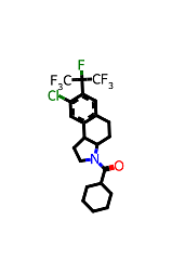 O=C(C1CCCCC1)N1CCC2c3cc(Cl)c(C(F)(C(F)(F)F)C(F)(F)F)cc3CCC21